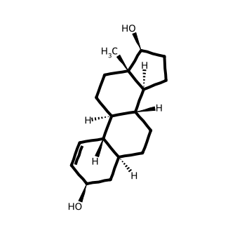 C[C@]12CC[C@@H]3[C@H]4C=C[C@H](O)C[C@@H]4CC[C@H]3[C@@H]1CC[C@@H]2O